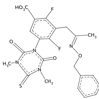 CC(Cc1c(F)c(C(=O)O)cc(-n2c(=O)n(C)c(=S)n(C)c2=O)c1F)=NOCc1ccccc1